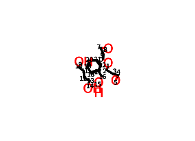 C(OCC1CO1)C1CO1.OCCCCO.OCc1ccccc1